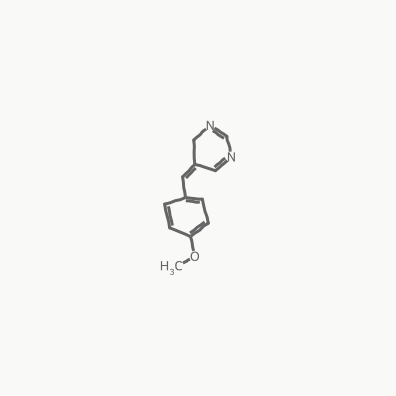 COc1ccc(C=C2C=NC=NC2)cc1